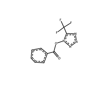 O=C(On1nnnc1C(F)(F)F)c1ccccc1